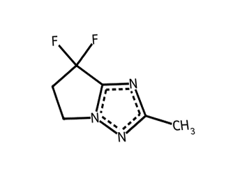 Cc1nc2n(n1)CCC2(F)F